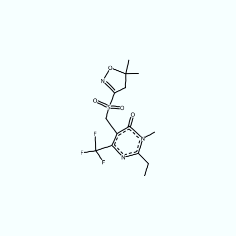 CCc1nc(C(F)(F)F)c(CS(=O)(=O)C2=NOC(C)(C)C2)c(=O)n1C